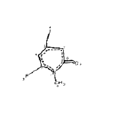 Cn1c(F)cc(I)cc1=O